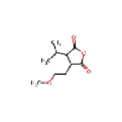 COCCC1C(=O)OC(=O)C1C(C)C